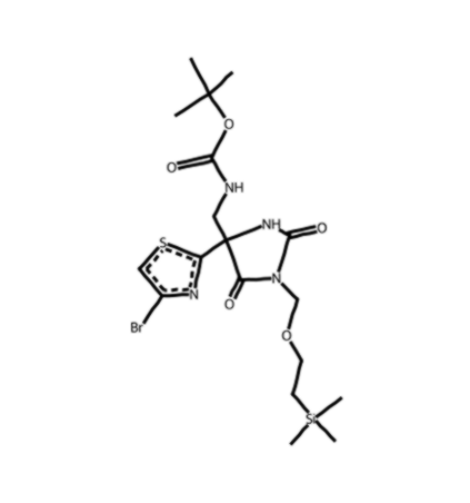 CC(C)(C)OC(=O)NCC1(c2nc(Br)cs2)NC(=O)N(COCC[Si](C)(C)C)C1=O